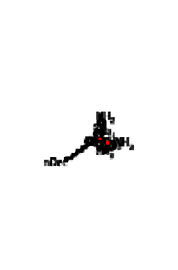 CCCCCCCCCCCCCCCCCCC1CCCC(c2cc(C)c(Oc3ccc(N)cc3)c(C)c2)(c2cc(C)c(Oc3ccc(N)cc3)c(C)c2)C1